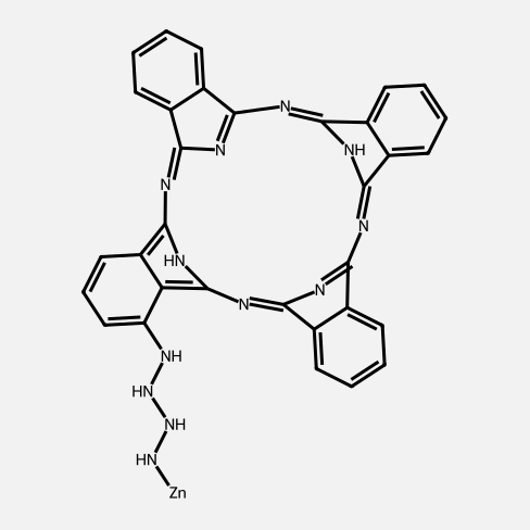 [Zn][NH]NNNc1cccc2c3nc4nc(nc5[nH]c(nc6nc(nc([nH]3)c12)-c1ccccc1-6)c1ccccc51)-c1ccccc1-4